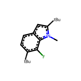 Cn1c(C(C)(C)C)cc2ccc(C(C)(C)C)c(F)c21